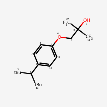 CC(C)(C)C(c1ccc(OCC(O)(C(F)(F)F)C(F)(F)F)cc1)C(C)(C)C